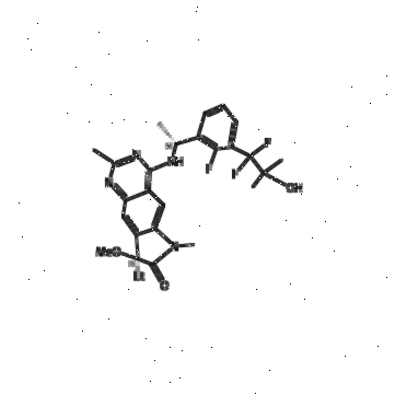 CC[C@@]1(OC)C(=O)N(C)c2cc3c(N[C@H](C)c4cccc(C(F)(F)C(C)(C)O)c4F)nc(C)nc3cc21